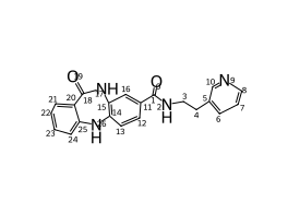 O=C(NCCc1cccnc1)c1ccc2c(c1)NC(=O)c1ccccc1N2